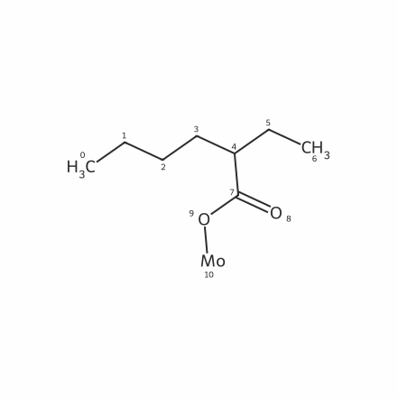 CCCCC(CC)C(=O)[O][Mo]